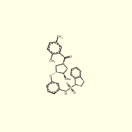 CO[C@@H]1CN(C(=O)c2cc(C)ccc2C)C[C@H]1Oc1cccc(NS(=O)(=O)N2CCc3ccccc32)c1